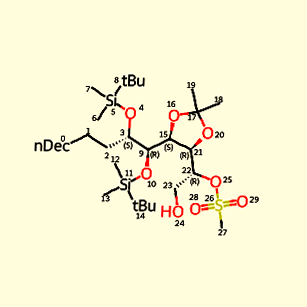 CCCCCCCCCCCC[C@H](O[Si](C)(C)C(C)(C)C)[C@H](O[Si](C)(C)C(C)(C)C)[C@H]1OC(C)(C)O[C@H]1[C@@H](CO)OS(C)(=O)=O